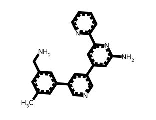 Cc1cc(CN)cc(-c2cncc(-c3cc(N)nc(-c4ccccn4)c3)c2)c1